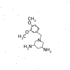 COc1ccc(CN2CC(N)CC(N)C2)cc1OC